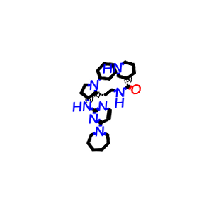 O=C(NCC[C@@H]1[C@@H](Nc2nccc(N3CCCCCC3)n2)CCN1C1CCCCC1)[C@H]1CCCNC1